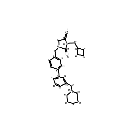 O=C1CN(Cc2ccc(-c3cccc(CN4CCCCC4)c3)cc2)C(=O)N1CC1CCC1